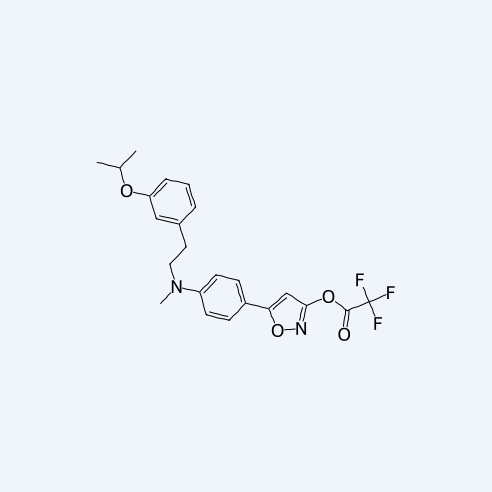 CC(C)Oc1cccc(CCN(C)c2ccc(-c3cc(OC(=O)C(F)(F)F)no3)cc2)c1